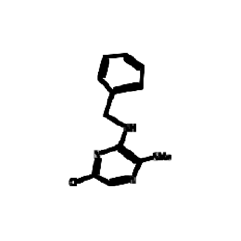 CSc1ncc(Cl)nc1NCc1ccccc1